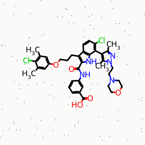 Cc1cc(OCCCc2c(C(=O)Nc3cccc(C(=O)O)c3)[nH]c3c(-c4c(C)nn(CCN5CCOCC5)c4C)c(Cl)ccc23)cc(C)c1Cl